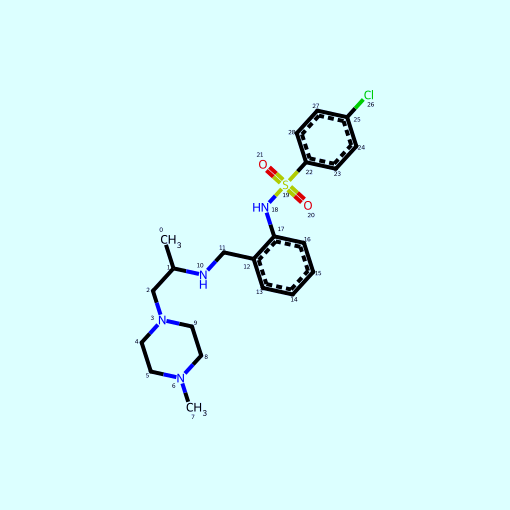 CC(CN1CCN(C)CC1)NCc1ccccc1NS(=O)(=O)c1ccc(Cl)cc1